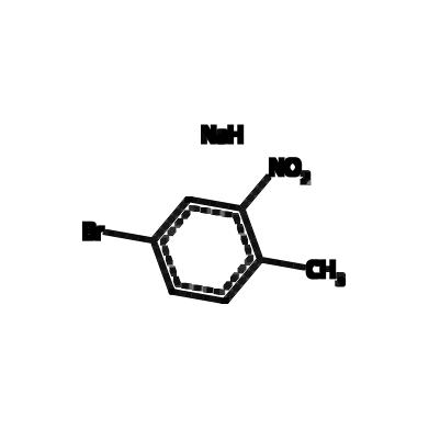 Cc1ccc(Br)cc1[N+](=O)[O-].[NaH]